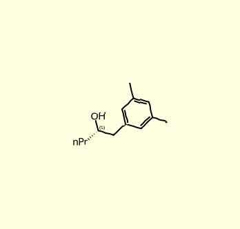 CCC[C@H](O)Cc1cc(C)cc(C)c1